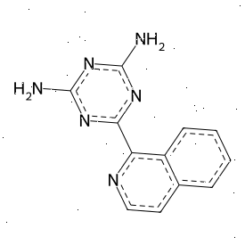 Nc1nc(N)nc(-c2nccc3ccccc23)n1